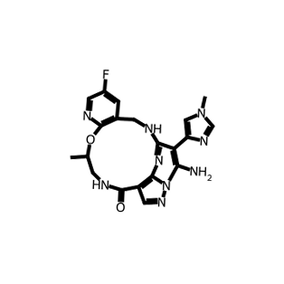 CC1CNC(=O)c2cnn3c(N)c(-c4cn(C)cn4)c(nc23)NCc2cc(F)cnc2O1